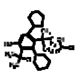 CC(C)(C)c1c(O)cc(C2CCCCC2)c(C(C)(C)C)c1C1CCCCC1.OP(O)O